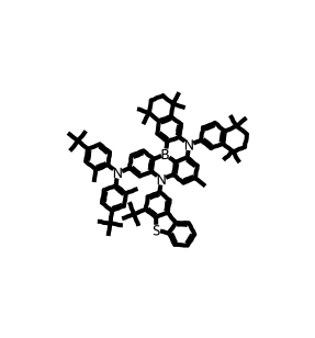 Cc1cc2c3c(c1)N(c1ccc4c(c1)C(C)(C)CCC4(C)C)c1cc4c(cc1B3c1ccc(N(c3ccc(C(C)(C)C)cc3C)c3ccc(C(C)(C)C)cc3C)cc1N2c1cc(C(C)(C)C)c2sc3ccccc3c2c1)C(C)(C)CCC4(C)C